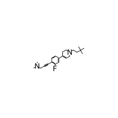 CN(C)CC#Cc1ccc(C2=CCN(CCC(C)(C)C)CC2)cc1F